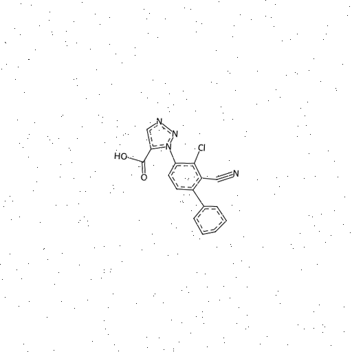 N#Cc1c(-c2ccccc2)ccc(-n2nncc2C(=O)O)c1Cl